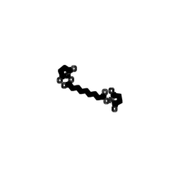 O=C(CCCCCCCC(=O)ON1C(=O)CCC1=O)ON1C(=O)CCC1=O